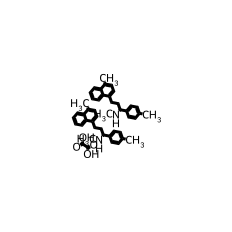 CNC(CCc1ccc(C)c2ccccc12)c1ccc(C)cc1.CNC(CCc1ccc(C)c2ccccc12)c1ccc(C)cc1.O=C(O)C(=O)O